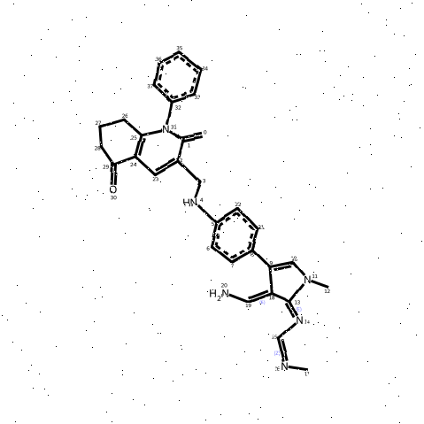 C=C1C(CNc2ccc(C3=CN(C)C(=N/C=N\C)/C3=C/N)cc2)=CC2=C(CCCC2=O)N1c1ccccc1